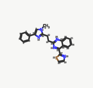 Cn1cc(-c2ccccc2)nc1CCc1nc(-c2nccs2)c2ccccc2n1